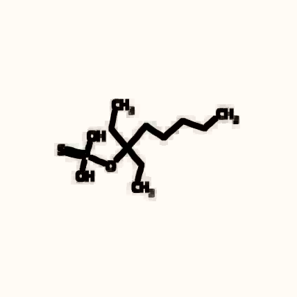 CCCCCC(CC)(CC)OP(O)(O)=S